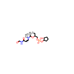 CCC(COP(=O)(O)OC1CCCC1)OC(C)N(C)/C=C\C(=O)NC=O